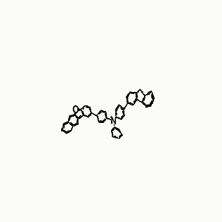 c1ccc(N(c2ccc(-c3ccc4c(c3)-c3ccccc3C4)cc2)c2ccc(-c3ccc4oc5cc6ccccc6cc5c4c3)cc2)cc1